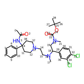 CC(=O)NC1(c2ccccc2)CCN(CCN(C)C(CN(C)C(=O)OC(C)(C)C)c2ccc(Cl)c(Cl)c2)CC1